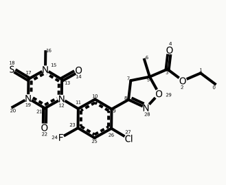 CCOC(=O)C1(C)CC(c2cc(-n3c(=O)n(C)c(=S)n(C)c3=O)c(F)cc2Cl)=NO1